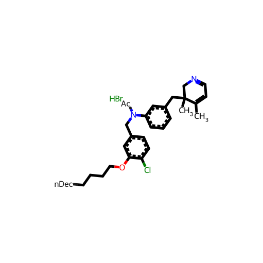 Br.CCCCCCCCCCCCCCOc1cc(CN(C(C)=O)c2cccc(CC3(C)CN=CC=C3C)c2)ccc1Cl